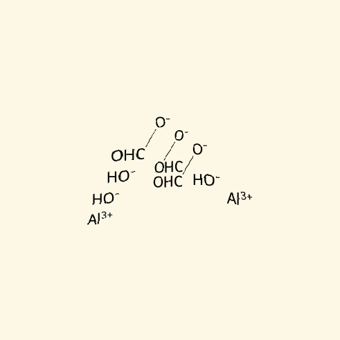 O=C[O-].O=C[O-].O=C[O-].[Al+3].[Al+3].[OH-].[OH-].[OH-]